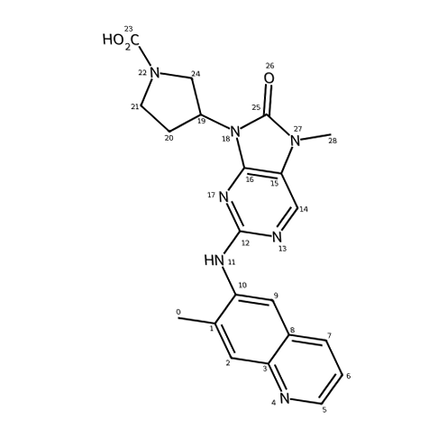 Cc1cc2ncccc2cc1Nc1ncc2c(n1)n(C1CCN(C(=O)O)C1)c(=O)n2C